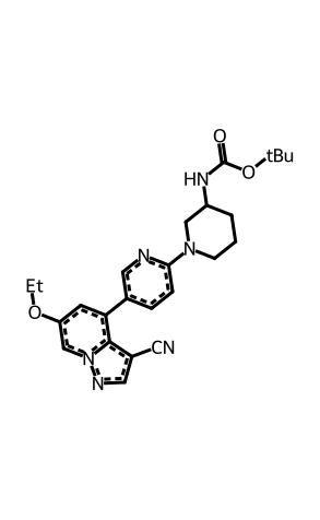 CCOc1cc(-c2ccc(N3CCCC(NC(=O)OC(C)(C)C)C3)nc2)c2c(C#N)cnn2c1